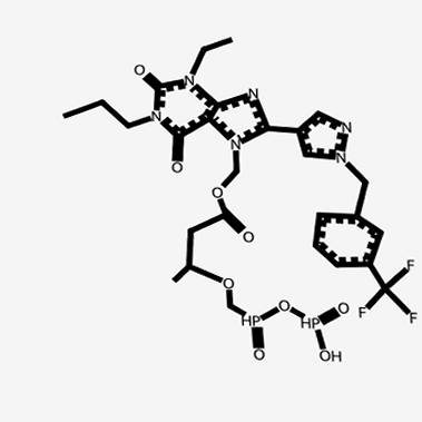 CCCn1c(=O)c2c(nc(-c3cnn(Cc4cccc(C(F)(F)F)c4)c3)n2COC(=O)CC(C)OC[PH](=O)O[PH](=O)O)n(CC)c1=O